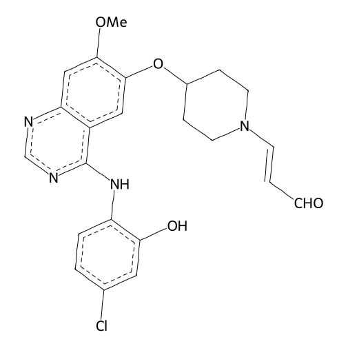 COc1cc2ncnc(Nc3ccc(Cl)cc3O)c2cc1OC1CCN(C=CC=O)CC1